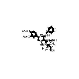 COc1ccc(CCN(C(C)=O)C(C(=O)NCc2ccccc2)/C(=N/N=N)NC(C)(C)CC(C)(C)C)cc1OC